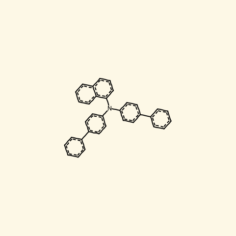 c1ccc(-c2ccc(N(c3ccc(-c4ccccc4)cc3)c3cccc4ccccc34)cc2)cc1